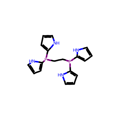 c1c[nH]c(P(CCP(c2ccc[nH]2)c2ccc[nH]2)c2ccc[nH]2)c1